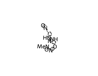 CNC(=O)c1cc(Oc2ccc3[nH]c(Nc4cccc(CCN5CCOCC5)c4)nc3c2)ccn1